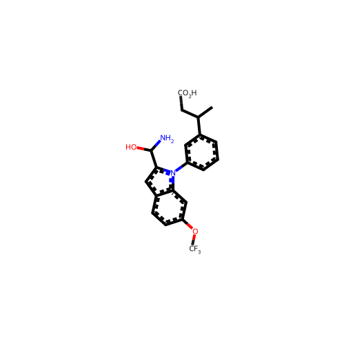 CC(CC(=O)O)c1cccc(-n2c(C(N)O)cc3ccc(OC(F)(F)F)cc32)c1